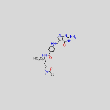 CCC(=O)N(C)CCCC[C@H](NC(=O)c1ccc(NCC2=CN=C3N=C(N)NC(=O)C23)cc1)C(=O)O